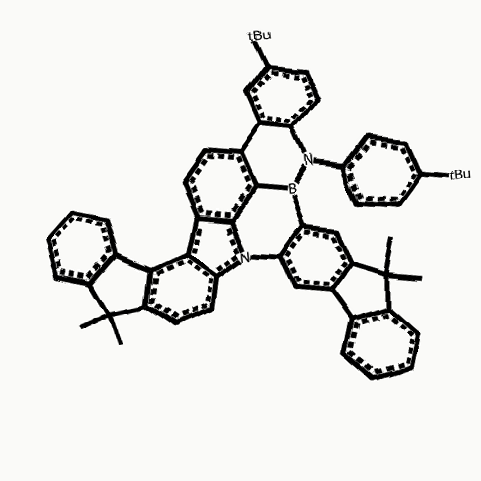 CC(C)(C)c1ccc(N2B3c4cc5c(cc4-n4c6ccc7c(c6c6ccc(c3c64)-c3cc(C(C)(C)C)ccc32)-c2ccccc2C7(C)C)-c2ccccc2C5(C)C)cc1